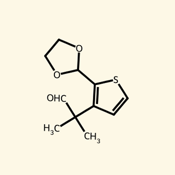 CC(C)(C=O)c1ccsc1C1OCCO1